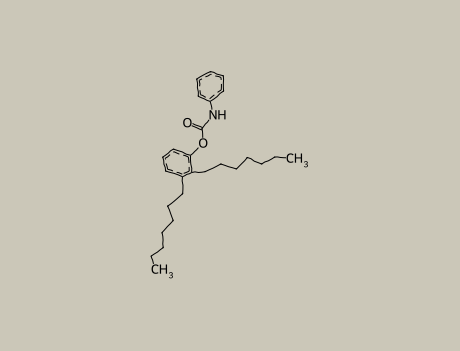 CCCCCCCc1cccc(OC(=O)Nc2ccccc2)c1CCCCCCC